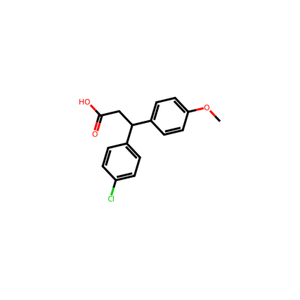 COc1ccc(C(CC(=O)O)c2ccc(Cl)cc2)cc1